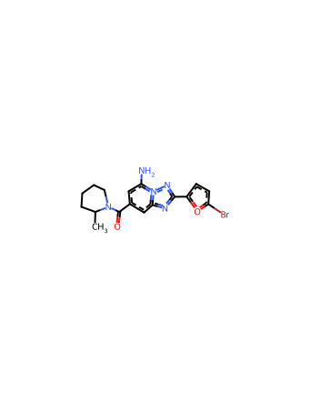 CC1CCCCN1C(=O)c1cc(N)n2nc(-c3ccc(Br)o3)nc2c1